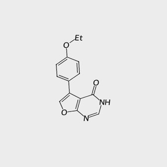 CCOc1ccc(-c2coc3nc[nH]c(=O)c23)cc1